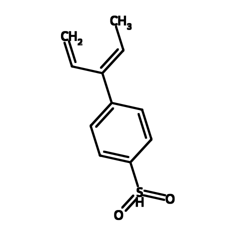 C=C/C(=C\C)c1ccc([SH](=O)=O)cc1